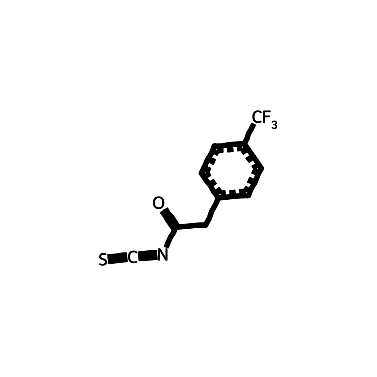 O=C(Cc1ccc(C(F)(F)F)cc1)N=C=S